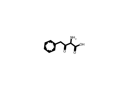 NC(C(=O)O)C(=O)Cc1ccccc1